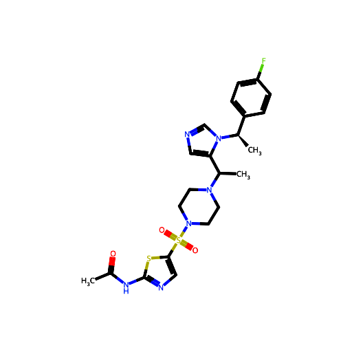 CC(=O)Nc1ncc(S(=O)(=O)N2CCN(C(C)c3cncn3[C@H](C)c3ccc(F)cc3)CC2)s1